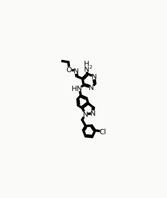 CCON=Cc1c(N)ncnc1Nc1ccc2c(cnn2Cc2cccc(Cl)c2)c1